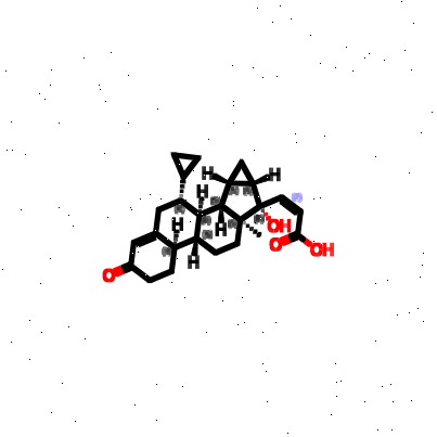 C[C@]12CC[C@H]3[C@H]([C@@H]1[C@@H]1C[C@@H]1[C@@]2(O)/C=C\C(=O)O)[C@@H](C1CC1)CC1=CC(=O)CC[C@@H]13